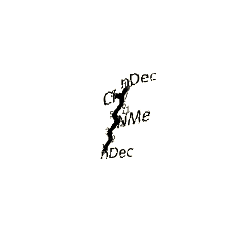 CCCCCCCCCCCCCCCCC(Cl)CCCCCCCCCCC.CNC